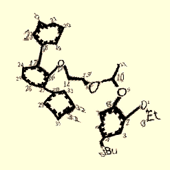 CCOc1cc(C(C)CC)ccc1OC(C)OCCOc1c(-c2ccccc2)cccc1-c1ccccc1